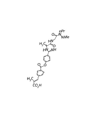 C=C(NC(=N)c1ccc(OC(=O)c2ccc(C=C(C)C(=O)O)cc2)cc1)C(=O)NCC(=O)N(CCC)NC